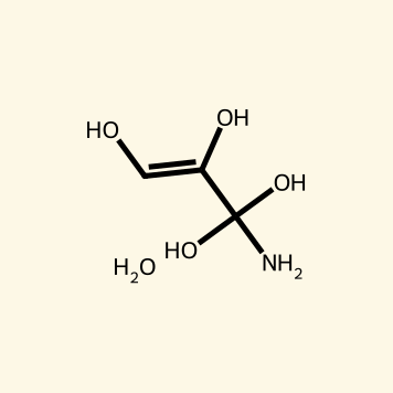 NC(O)(O)C(O)=CO.O